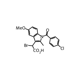 COc1ccc2c(c1)c(C(Br)C(=O)O)c(C)n2C(=O)c1ccc(Cl)cc1